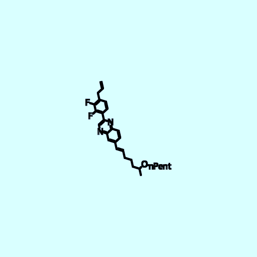 C=CCc1ccc(-c2cnc3cc(/C=C/CCCC(C)OCCCCC)ccc3n2)c(F)c1F